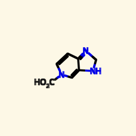 O=C(O)N1C=CC2=NCNC2=C1